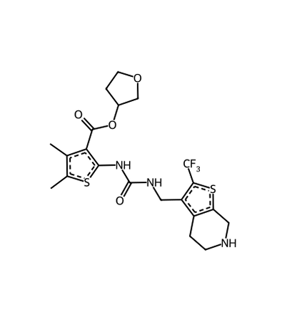 Cc1sc(NC(=O)NCc2c(C(F)(F)F)sc3c2CCNC3)c(C(=O)OC2CCOC2)c1C